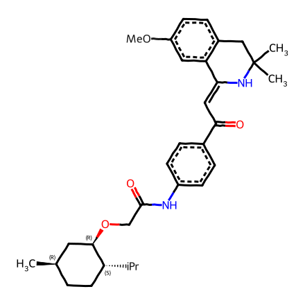 COc1ccc2c(c1)C(=CC(=O)c1ccc(NC(=O)CO[C@@H]3C[C@H](C)CC[C@H]3C(C)C)cc1)NC(C)(C)C2